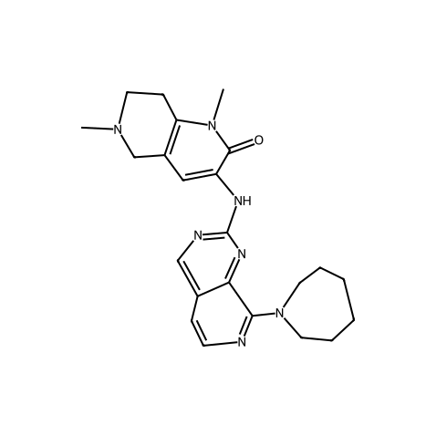 CN1CCc2c(cc(Nc3ncc4ccnc(N5CCCCCC5)c4n3)c(=O)n2C)C1